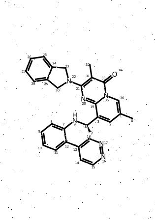 Cc1cc([C@@H](C)Nc2ccccc2-c2ccnnc2)c2nc(N3Cc4ccccc4C3)c(C)c(=O)n2c1